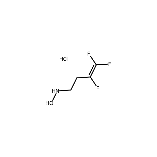 Cl.ONCCC(F)=C(F)F